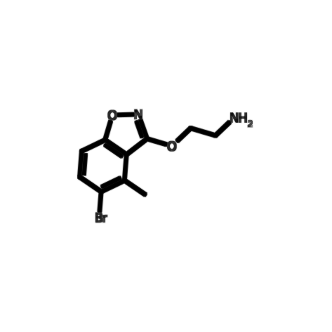 Cc1c(Br)ccc2onc(OCCN)c12